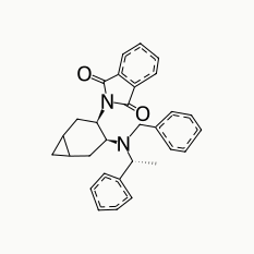 C[C@H](c1ccccc1)N(Cc1ccccc1)[C@H]1CC2CC2C[C@H]1N1C(=O)c2ccccc2C1=O